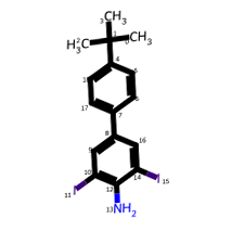 CC(C)(C)c1ccc(-c2cc(I)c(N)c(I)c2)cc1